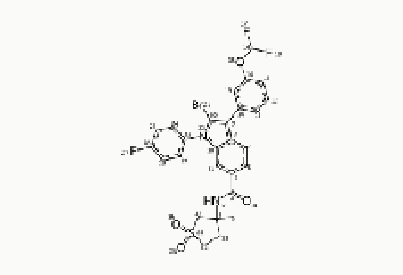 CC1(NC(=O)c2ccc3c(-c4cccc(OC(F)F)c4)c(Br)n(-c4ccc(F)cc4)c3c2)CCS(=O)(=O)C1